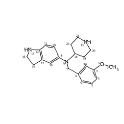 COc1cccc(CN(c2ccc3c(c2)CCN3)C2CCNCC2)c1